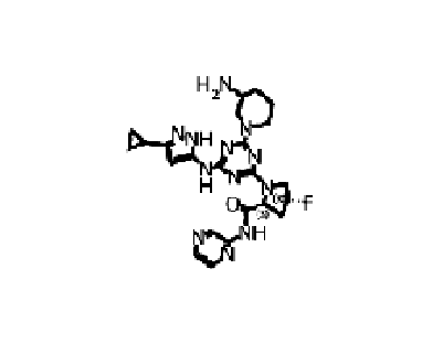 NC1CCCN(c2nc(Nc3cc(C4CC4)n[nH]3)nc(N3C[C@H](F)C[C@H]3C(=O)Nc3cnccn3)n2)C1